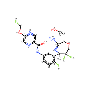 CC1(c2cc(NC(=O)c3cnc(OCF)cn3)ccc2F)N=C(N)COCC1(F)F.O=CO